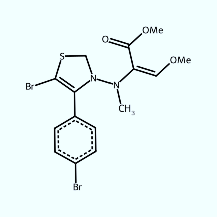 COC=C(C(=O)OC)N(C)N1CSC(Br)=C1c1ccc(Br)cc1